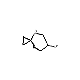 OC1CCC2(CC2)NC1